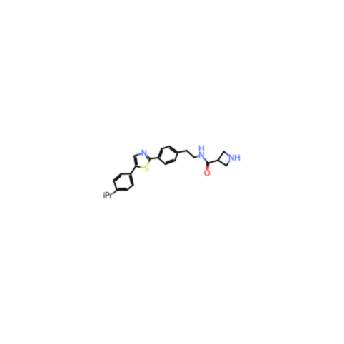 CC(C)c1ccc(-c2cnc(-c3ccc(CCNC(=O)C4CNC4)cc3)s2)cc1